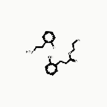 CC(C)CCOC(=O)CCc1ccccc1O.O=C(O)CCc1ccccc1O